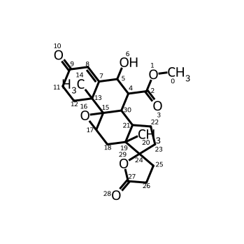 COC(=O)C1C(O)C2=CC(=O)CCC2(C)C23OC2CC2(C)C(CCC24CCC(=O)O4)C13